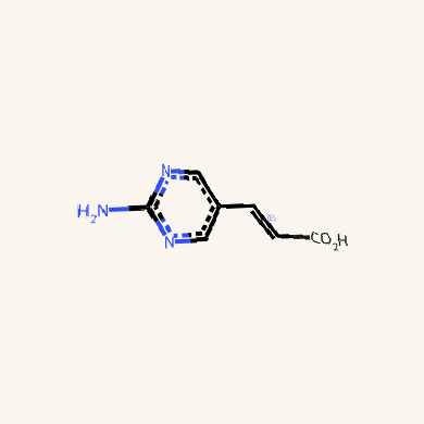 Nc1ncc(/C=C/C(=O)O)cn1